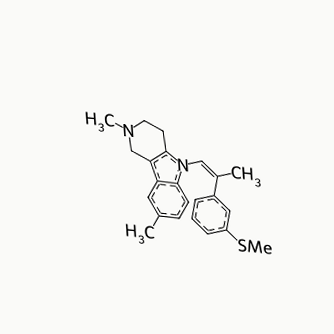 CSc1cccc(/C(C)=C\n2c3c(c4cc(C)ccc42)CN(C)CC3)c1